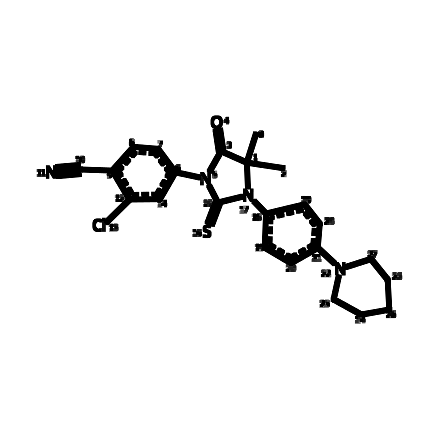 CC1(C)C(=O)N(c2ccc(C#N)c(Cl)c2)C(=S)N1c1ccc(N2CCCCC2)cc1